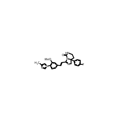 COc1cc(/C=C/C2=NCC3(c4ccc(F)cc4)CCNC(=O)N23)ccc1-n1cnc(C)c1